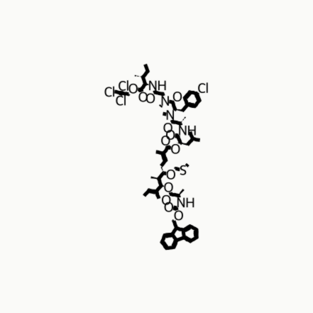 C/C=C(\C)[C@@H](OC(=O)[C@@H](C)NC(=O)OCC1c2ccccc2-c2ccccc21)[C@@H](C)[C@H](C/C=C(\C)C(=O)O[C@H](CC(C)C)C(=O)N[C@@H](C)C(=O)N(C)[C@H](Cc1ccc(Cl)cc1)C(=O)N(C)CC(=O)N[C@H](C(=O)OCC(Cl)(Cl)Cl)[C@H](C)CC)OCSC